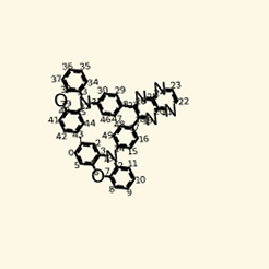 c1ccc2c(c1)Oc1ccccc1N2c1ccc(-c2nc3nccnc3nc2-c2ccc(N3c4ccccc4Oc4ccccc43)cc2)cc1